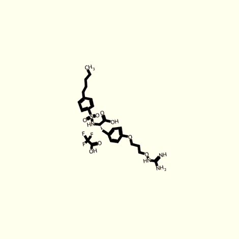 CCCCCc1ccc(S(=O)(=O)N[C@@H](Cc2ccc(OCCCONC(=N)N)cc2)C(=O)O)cc1.O=C(O)C(F)(F)F